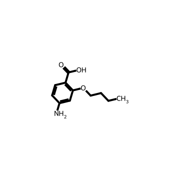 CCCCOc1cc(N)ccc1C(=O)O